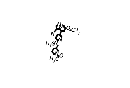 CCOc1cc(-c2ccc(N(C)CC3CCCN(C(C)=O)C3)nc2)c2c(C#N)cnn2c1